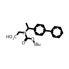 CC(c1ccc(-c2ccccc2)cc1)N(CC(=O)O)C(=O)OC(C)(C)C